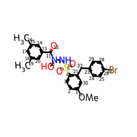 COc1ccc(S(=O)(=O)NN(O)C(=O)c2cc(C)cc(C)c2)c(Cc2ccc(Br)cc2)c1